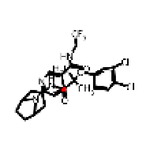 CC(C)(Oc1ccc(Cl)c(Cl)c1)C(=O)NC1CC2CCC(C1)N2c1ccc(C(=O)NCC(F)(F)F)cn1